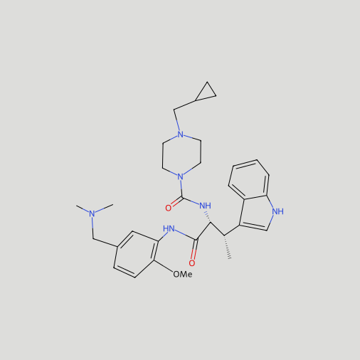 COc1ccc(CN(C)C)cc1NC(=O)[C@H](NC(=O)N1CCN(CC2CC2)CC1)[C@@H](C)c1c[nH]c2ccccc12